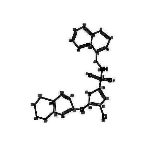 O=S(=O)(NCc1cccc2ccccc12)c1cc(Cl)c(Oc2ccc3c(c2)CCCC3)s1